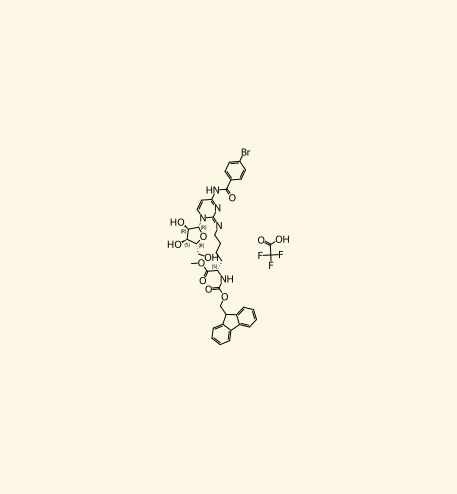 COC(=O)[C@H](CCCCN=c1nc(NC(=O)c2ccc(Br)cc2)ccn1[C@@H]1O[C@H](CO)[C@@H](O)[C@H]1O)NC(=O)OCC1c2ccccc2-c2ccccc21.O=C(O)C(F)(F)F